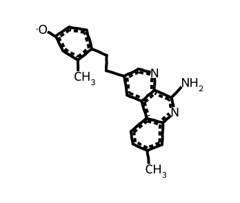 Cc1ccc2c(c1)nc(N)c1ncc(CCc3ccc([O])cc3C)cc12